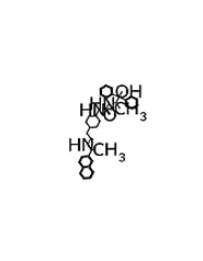 C[C@@H](NCCC1CCC(NC(=O)N[C@H](C)C(O)(c2ccccc2)c2ccccc2)CC1)c1ccc2ccccc2c1